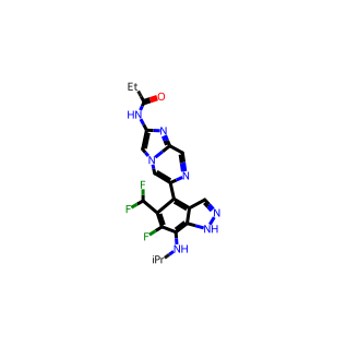 CCC(=O)Nc1cn2cc(-c3c(C(F)F)c(F)c(NC(C)C)c4[nH]ncc34)ncc2n1